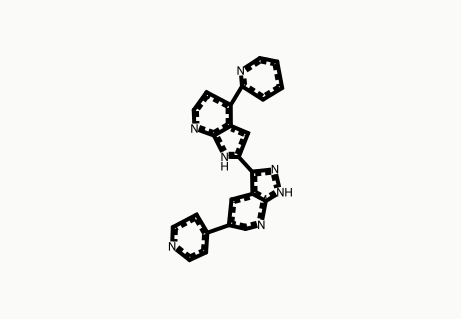 c1ccc(-c2ccnc3[nH]c(-c4n[nH]c5ncc(-c6ccncc6)cc45)cc23)nc1